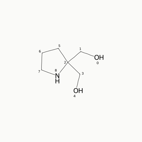 OCC1(CO)CCCN1